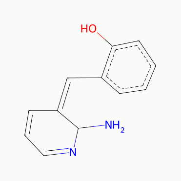 NC1N=CC=CC1=Cc1ccccc1O